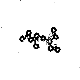 c1ccc(-c2nc3c(-c4ccc(-c5nc(-c6cccc7c6oc6ccccc67)cc(-c6cccc7c6oc6ccccc67)n5)cc4)cccc3c3c2ccc2c3c3ccccc3n2-c2ccccc2)cc1